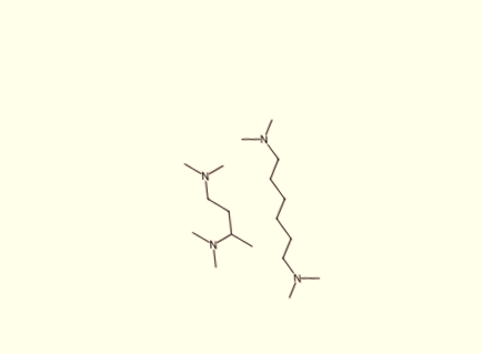 CC(CCN(C)C)N(C)C.CN(C)CCCCCCN(C)C